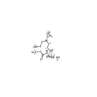 CCC(=O)O.CN(CCO)CCO.F.F.F.F.F